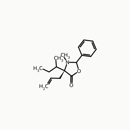 C=CC[C@]1(C(C)CC)C(=O)OC(c2ccccc2)N1C